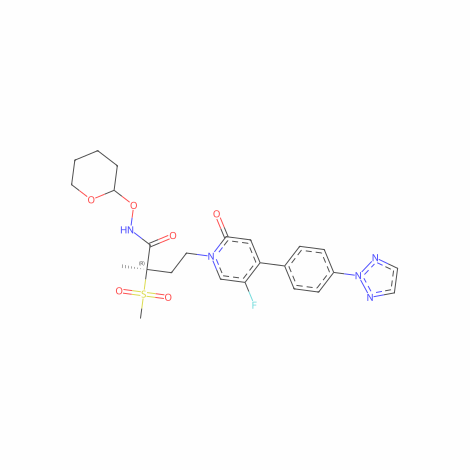 C[C@@](CCn1cc(F)c(-c2ccc(-n3nccn3)cc2)cc1=O)(C(=O)NOC1CCCCO1)S(C)(=O)=O